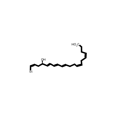 CC/C=C\C[C@@H](O)/C=C/C=C/C=C/CC/C=C\C/C=C\CCC(=O)O